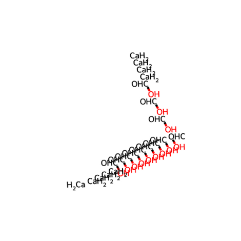 O=CO.O=CO.O=CO.O=CO.O=CO.O=CO.O=CO.O=CO.O=CO.O=CO.O=CO.O=CO.[CaH2].[CaH2].[CaH2].[CaH2].[CaH2].[CaH2].[CaH2].[CaH2].[CaH2]